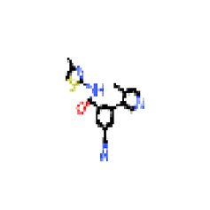 Cc1csc(NC(=O)c2cc(C#N)cc(-c3cnccc3C)c2)n1